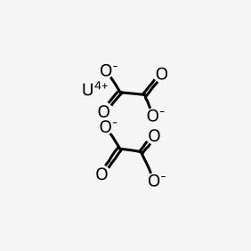 O=C([O-])C(=O)[O-].O=C([O-])C(=O)[O-].[U+4]